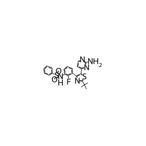 CC(C)(C)c1nc(-c2cccc(NS(=O)(=O)c3ccccc3)c2F)c(-c2ccnc(N)n2)s1